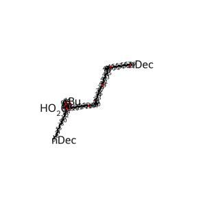 CCCCCCCCCCCCCCCCCCCCCCCCC(C(=O)O)[C@@H](CCCCCCCCCCC[C@H]1C[C@H]1CCCCCCCCCCCCCC[C@H]1C[C@H]1CCCCCCCCCCCCCCCCCCCC)O[Si](C)(C)C(C)(C)C